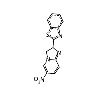 O=[N+]([O-])C1=CN2CC(c3nc4ccccc4s3)N=C2C=C1